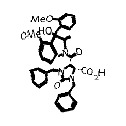 COc1ccccc1C(O)(c1ccccc1OC)C(C)N(C)C(=O)[C@@H]1[C@H](C(=O)O)N(Cc2ccccc2)C(=O)N1Cc1ccccc1